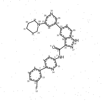 O=C(Nc1ccc(-c2cccc(F)c2)nc1)c1n[nH]c2ccc(-c3cncc(N4CCCCC4)c3)cc12